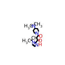 CC(C)n1ccnc1[C@@H](O)CC(=O)N1CCC(N(C)C)CC1